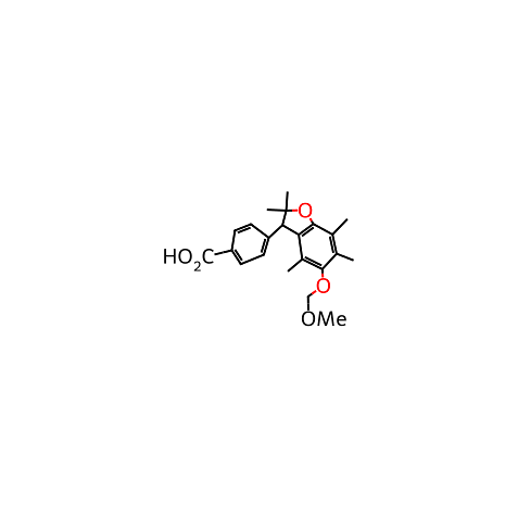 COCOc1c(C)c(C)c2c(c1C)C(c1ccc(C(=O)O)cc1)C(C)(C)O2